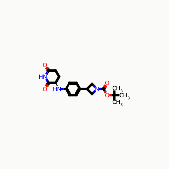 CC(C)(C)OC(=O)N1CC(c2ccc(N[C@H]3CCC(=O)NC3=O)cc2)C1